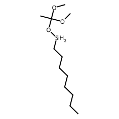 CCCCCCCC[SiH2]OC(C)(OC)OC